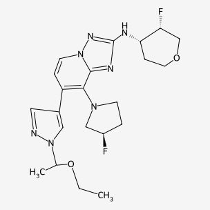 CCOC(C)n1cc(-c2ccn3nc(N[C@H]4CCOC[C@H]4F)nc3c2N2CC[C@@H](F)C2)cn1